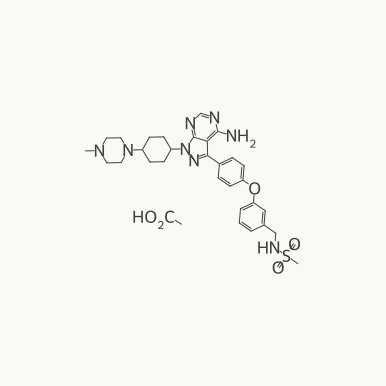 CC(=O)O.CN1CCN(C2CCC(n3nc(-c4ccc(Oc5cccc(CNS(C)(=O)=O)c5)cc4)c4c(N)ncnc43)CC2)CC1